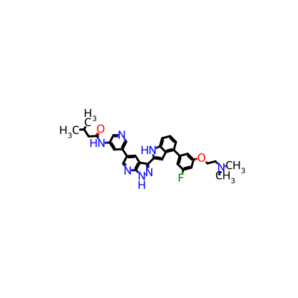 CC(C)CC(=O)Nc1cncc(-c2cnc3[nH]nc(-c4cc5c(-c6cc(F)cc(OCCN(C)C)c6)cccc5[nH]4)c3c2)c1